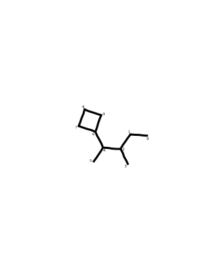 CCC(C)C(C)C1CCC1